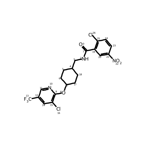 O=C(NCC1CCC(Oc2ncc(C(F)(F)F)cc2Cl)CC1)c1cc([N+](=O)[O-])ccc1Cl